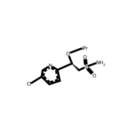 CC(C)O[C@@H](CS(N)(=O)=O)c1ccc(Cl)cn1